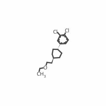 CCOCC[C@H]1CC[C@H](c2ccc(Cl)c(Cl)c2)CC1